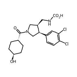 O=C(O)NC[C@@H]1CN(C(=O)[C@H]2CC[C@H](O)CC2)C[C@@H]1c1ccc(Cl)c(Cl)c1